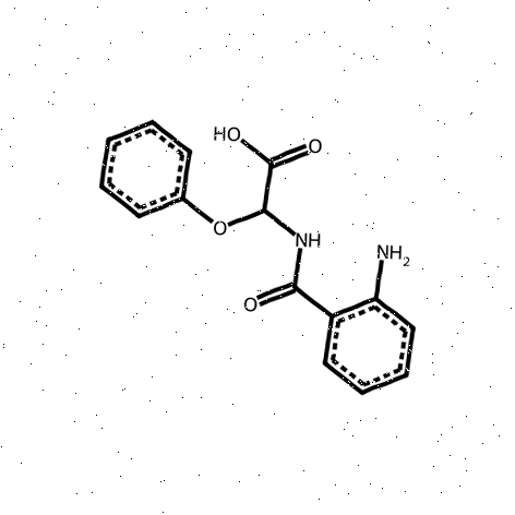 Nc1ccccc1C(=O)NC(Oc1ccccc1)C(=O)O